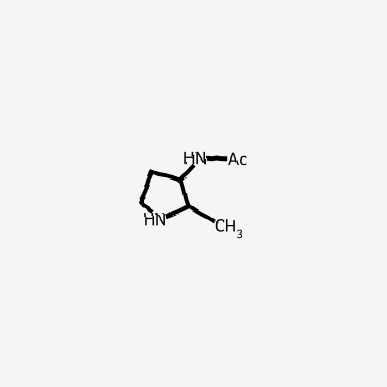 CC(=O)NC1CCNC1C